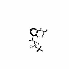 CC(N[S@@+]([O-])C(C)(C)C)c1cccc(OC(F)F)c1F